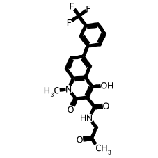 CC(=O)CNC(=O)c1c(O)c2cc(-c3cccc(C(F)(F)F)c3)ccc2n(C)c1=O